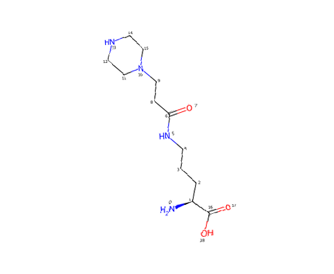 N[C@@H](CCCNC(=O)CCN1CCNCC1)C(=O)O